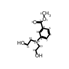 COC(=O)c1cccc(N(CCO)CCO)c1